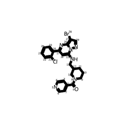 O=C(c1ccncc1)N1CCCC(CNc2cc(-c3ccccc3Cl)nc3c(Br)cnn23)C1